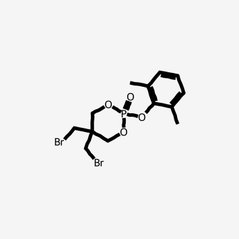 Cc1cccc(C)c1OP1(=O)OCC(CBr)(CBr)CO1